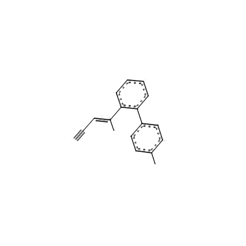 C#C/C=C(\C)c1ccccc1-c1ccc(C)cc1